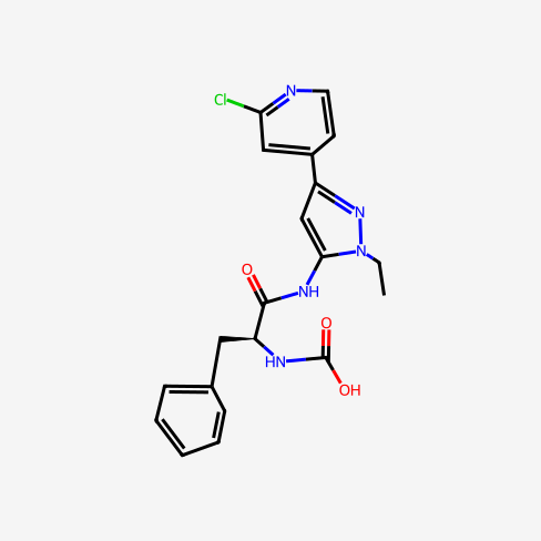 CCn1nc(-c2ccnc(Cl)c2)cc1NC(=O)[C@H](Cc1ccccc1)NC(=O)O